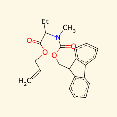 C=CCOC(=O)C(CC)N(C)C(=O)OCC1c2ccccc2-c2ccccc21